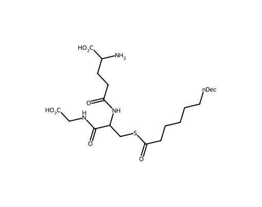 CCCCCCCCCCCCCCCC(=O)SCC(NC(=O)CCC(N)C(=O)O)C(=O)NCC(=O)O